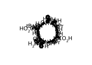 CC(C)C[C@@H]1NC(=O)[C@H](Cc2c[nH]cn2)NC(=O)C(Cc2c[nH]c3ccccc23)NC(=O)[C@H](C)NC(=O)[C@@H](NC(=O)[C@H](CC(=O)O)NC(C)(C)C)CC(=O)NCCC[C@@H](C(=O)N[C@H](C(N)=O)[C@@H](C)O)NC(=O)[C@H](Cc2c[nH]c3ccccc23)NC(=O)[C@H](C(C)C)NC(=O)[C@H](CC(C)C)NC(=O)[C@H](CCC(=O)O)NC(=O)CNC1=O